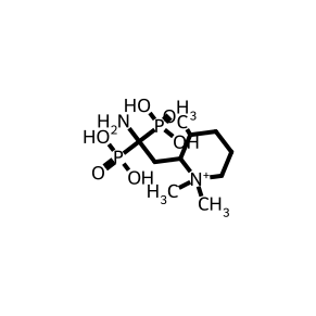 CC1CCC[N+](C)(C)C1CC(N)(P(=O)(O)O)P(=O)(O)O